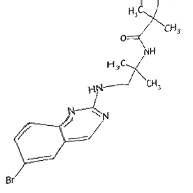 CC(C)(CNc1ncc2cc(Br)ccc2n1)NC(=O)C(C)(C)C